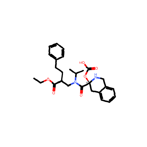 CCOC(=O)C(CCc1ccccc1)CN(C(=O)[C@@]1(OC(=O)O)Cc2ccccc2CN1)C(C)C